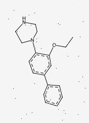 CCOc1cc(-c2ccccc2)ccc1N1CCNCC1